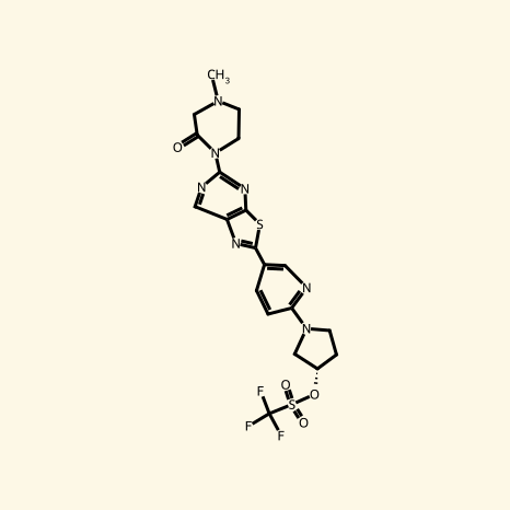 CN1CCN(c2ncc3nc(-c4ccc(N5CC[C@H](OS(=O)(=O)C(F)(F)F)C5)nc4)sc3n2)C(=O)C1